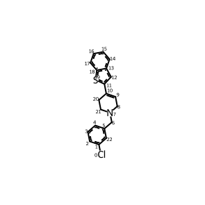 Clc1cccc(CN2CC=C(c3cc4ccccc4s3)CC2)c1